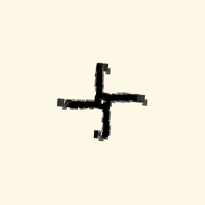 CCCCCCCCCCCCN1CCN(CCCCCCCCCCCC)CCN(CCCCCCCCCCCC)CCN(CCCCCCCCCCCC)CC1